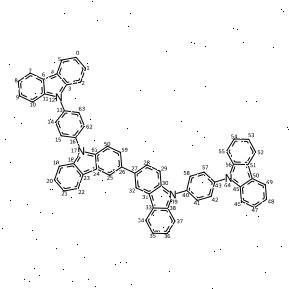 c1ccc2c(c1)c1ccccc1n2-c1ccc(-n2c3ccccc3c3cc(-c4ccc5c(c4)c4ccccc4n5-c4ccc(-n5c6ccccc6c6ccccc65)cc4)ccc32)cc1